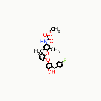 CCOC(=O)C(=O)Nc1cc(C)c(Oc2ccccc2Oc2ccc(O)c(Cc3ccc(F)cc3)c2)c(C)c1